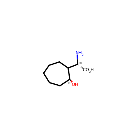 N[C@H](C(=O)O)C1CCCCC[C@@H]1O